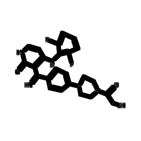 N=C(c1ccc(N2CCN(C(=O)CO)CC2)cc1)c1c(Nc2c(F)cccc2F)cc[nH]c1=O